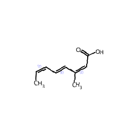 C\C=C/C=C/C(C)=C\C(=O)O